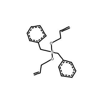 C=CC[O][Ti]([CH2]c1ccccc1)([CH2]c1ccccc1)[O]CC=C